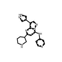 c1cc(Nc2cc(C3CCCNC3)nc3c(-c4cn[nH]c4)cnn23)ccn1